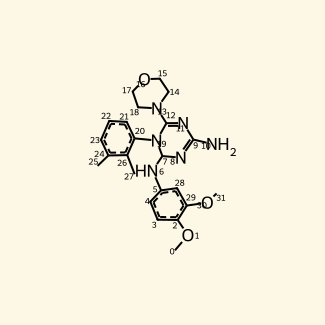 COc1ccc(NC2N=C(N)N=C(N3CCOCC3)N2c2cccc(C)c2C)cc1OC